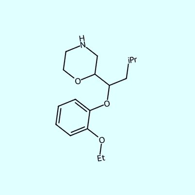 CCOc1ccccc1OC(CC(C)C)C1CNCCO1